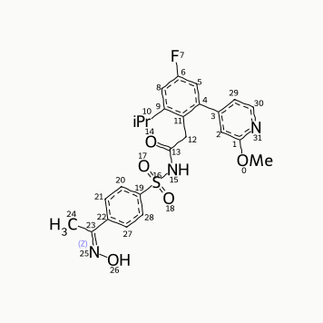 COc1cc(-c2cc(F)cc(C(C)C)c2CC(=O)NS(=O)(=O)c2ccc(/C(C)=N\O)cc2)ccn1